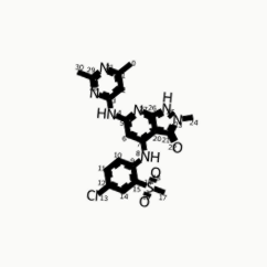 Cc1cc(Nc2cc(Nc3ccc(Cl)cc3S(C)(=O)=O)c3c(=O)n(C)[nH]c3n2)nc(C)n1